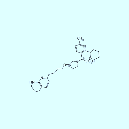 Cc1ccc([C@@H](C(=O)O)N2CC[C@@H](OCCCCc3ccc4c(n3)NCCC4)C2)c(C2CCCCO2)n1